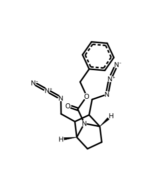 [N-]=[N+]=NCC1C(CN=[N+]=[N-])[C@@H]2CC[C@H]1N2C(=O)OCc1ccccc1